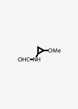 COC1CC1N[C]=O